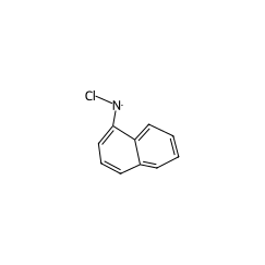 Cl[N]c1cccc2ccccc12